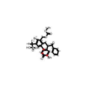 CC(C)OC(=O)OCc1cc(C(F)(F)P(=O)(O)O)c(Br)c(COC(=O)OC(C)C)c1CC(C(=O)c1ccccc1)c1ccccc1